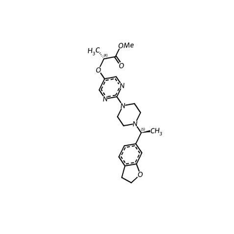 COC(=O)[C@@H](C)Oc1cnc(N2CCN([C@@H](C)c3ccc4c(c3)OCC4)CC2)nc1